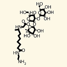 CC(CCCCCCC(=O)NCCN)NCC(=O)O[C@@H]1O[C@H](CO)[C@H](O)[C@H](O[C@H]2O[C@H](CO)[C@H](O)[C@H](O)[C@H]2O)[C@H]1O[C@H]1O[C@H](C)[C@H](O)[C@H](O)[C@H]1O